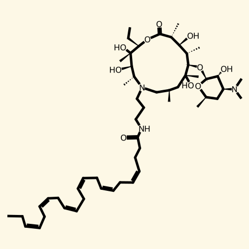 CC/C=C\C/C=C\C/C=C\C/C=C\C/C=C\C/C=C\CCC(=O)NCCCN1C[C@H](C)C[C@@](C)(O)[C@H](O[C@@H]2O[C@H](C)C[C@H](N(C)C)[C@H]2O)[C@@H](C)[C@H](O)[C@@H](C)C(=O)O[C@H](CC)[C@@](C)(O)[C@H](O)[C@H]1C